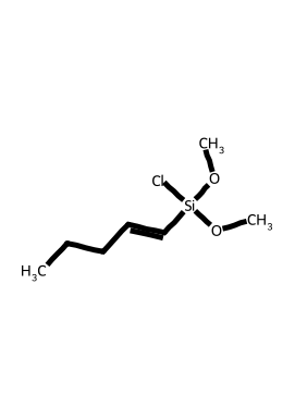 CCCC=C[Si](Cl)(OC)OC